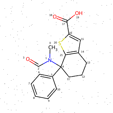 CN(C=O)C1(c2ccccc2)CCCc2cc(C(=O)O)sc21